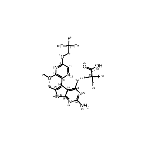 COc1nc(OCC(F)(F)F)cnc1-c1c(C)[nH]c2nc(N)nc(C)c12.O=C(O)C(F)(F)F